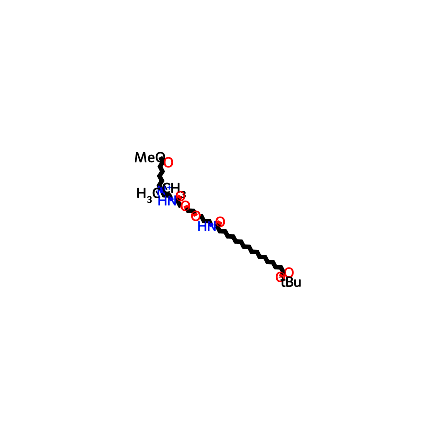 COC(=O)CCCCC[N+](C)(C)CCNC(=O)COCCOCCCNC(=O)CCCCCCCCCCCCCCCCC(=O)OC(C)(C)C